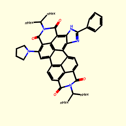 CCCCCCC(CCCCCC)N1C(=O)c2ccc3c4cc(N5CCCC5)c5c6c(c7[nH]c(-c8ccccc8)nc7c(c7ccc(c2c37)C1=O)c64)C(=O)N(C(CCCCCC)CCCCCC)C5=O